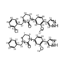 COc1cc(N2CCCN(Cc3ccccc3)C2=O)ccc1-c1cn[nH]c1.COc1cc(N2CCCN(Cc3ccccc3Cl)C2=O)ccc1-c1cn[nH]c1